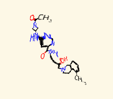 CC(=O)N1CC(Nc2cc(C(=O)NCC(O)CN3CCc4c(C)cccc4C3)ncn2)C1